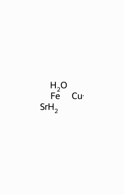 O.[Cu].[Fe].[SrH2]